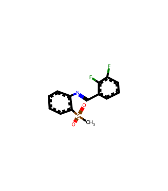 CS(=O)(=O)c1ccccc1N=Cc1cccc(F)c1F